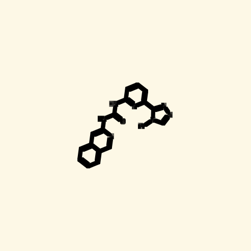 CC(C)n1cnnc1-c1cccc(NC(=O)Nc2cc3ccccc3cn2)n1